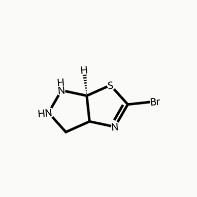 BrC1=NC2CNN[C@H]2S1